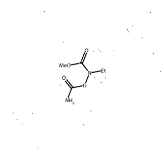 CCN(OC(N)=O)C(=O)OC